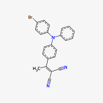 CC(=C(C#N)C#N)c1ccc(N(c2ccccc2)c2ccc(Br)cc2)cc1